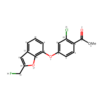 COC(=O)c1ccc(Oc2cccc3cc(CF)oc23)cc1Cl